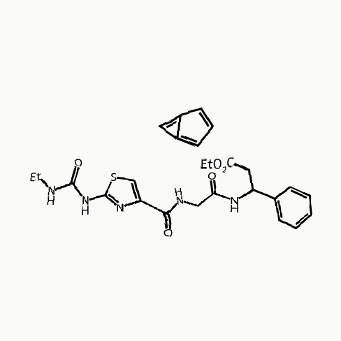 CCNC(=O)Nc1nc(C(=O)NCC(=O)NC(CC(=O)OCC)c2ccccc2)cs1.c1cc2cc-2c1